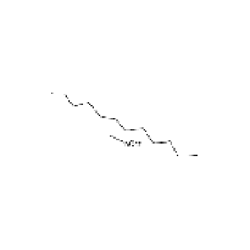 CCCCCCCCC.CCCCCCCCCCCC